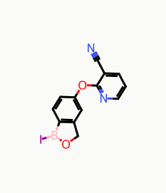 N#Cc1cccnc1Oc1ccc2c(c1)COB2I